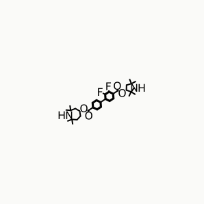 CC1(C)CCC(OC(=O)c2ccc(-c3ccc(C(=O)OC4CC(C)(C)NC4(C)C)c(F)c3F)cc2)CC(C)(C)N1